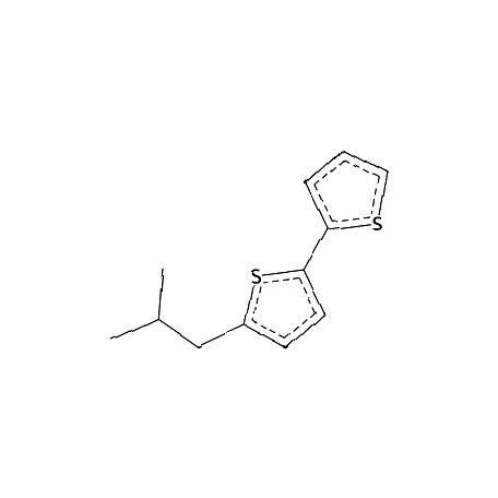 CC(C)Cc1ccc(-c2cccs2)s1